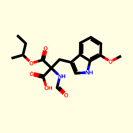 CCC(C)OC(=O)C(Cc1c[nH]c2c(OC)cccc12)(NC=O)C(=O)O